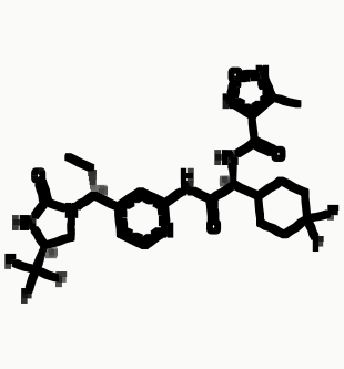 CC[C@H](c1ccnc(NC(=O)[C@@H](NC(=O)c2nonc2C)C2CCC(F)(F)CC2)c1)N1C[C@@H](C(F)(F)F)NC1=O